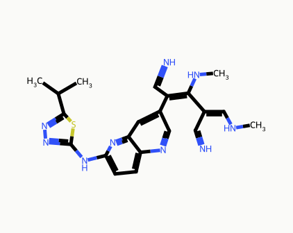 CN/C=C(C=N)/C(NC)=C(/C=N)c1cnc2ccc(Nc3nnc(C(C)C)s3)nc2c1